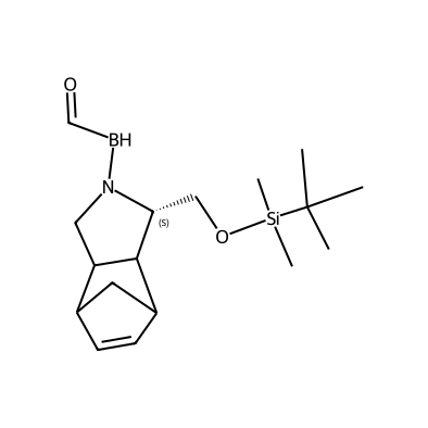 CC(C)(C)[Si](C)(C)OC[C@@H]1C2C3C=CC(C3)C2CN1BC=O